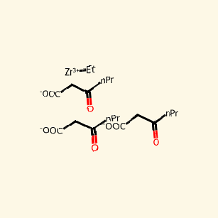 CCCC(=O)CC(=O)[O-].CCCC(=O)CC(=O)[O-].CCCC(=O)CC(=O)[O-].C[CH2][Zr+3]